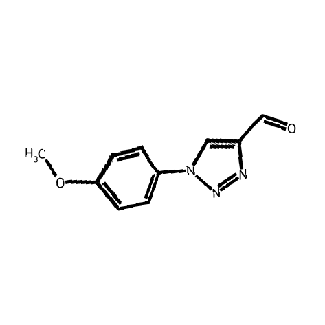 COc1ccc(-n2cc(C=O)nn2)cc1